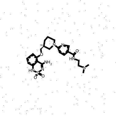 CN(C)CCNC(=O)c1ccc(N2CCC[C@H](COc3cccc4c3C(N)=NS(=O)(=O)N4)C2)nc1